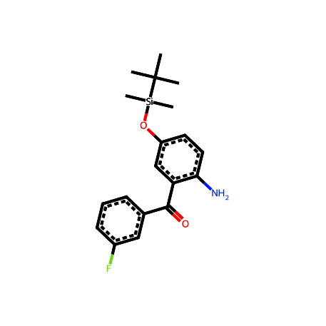 CC(C)(C)[Si](C)(C)Oc1ccc(N)c(C(=O)c2cccc(F)c2)c1